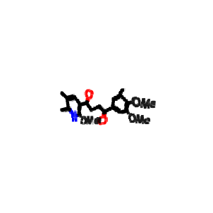 COc1cc(C(=O)CCC(=O)c2cc(C)c(C)nc2OC)cc(C)c1OC